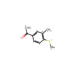 CCCCSc1ccc(C(=O)C=O)cc1C